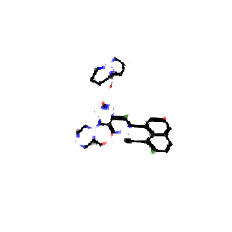 C#Cc1c(F)ccc2cc(O)cc(-c3nc4c5c(nc(OC[C@@]67CCCN6C[C@H](F)C7)nc5c3F)N3C[C@@H](C)NC[C@@H]3CO4)c12